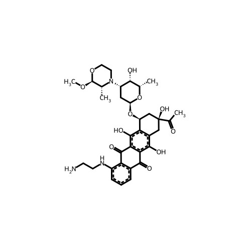 CO[C@H]1OCCN([C@H]2C[C@H](O[C@H]3C[C@](O)(C(C)=O)Cc4c(O)c5c(c(O)c43)C(=O)c3c(NCCN)cccc3C5=O)O[C@@H](C)[C@H]2O)[C@@H]1C